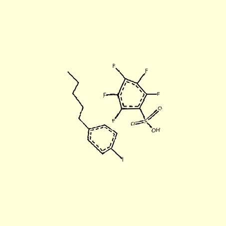 CCCCCc1ccc(I)cc1.O=S(=O)(O)c1c(F)c(F)c(F)c(F)c1F